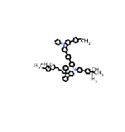 C=Cc1ccc(CC(CC)CCCCC2(c3ccccc3)c3ccccc3-c3ccc(N(c4ccc(-c5ccc(-c6ccc7c(c6)c6cc(-c8ccc(C=C)cc8)ccc6n7-c6ccccc6)cc5)cc4)c4ccc(-c5ccc(C(C)(C)C)cc5)cc4)cc32)cc1